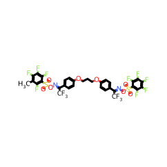 Cc1c(F)c(F)c(F)c(S(=O)(=O)O/N=C(/c2ccc(OCCCOc3ccc(/C(=N/OS(=O)(=O)c4c(F)c(F)c(F)c(F)c4F)C(F)(F)F)cc3)cc2)C(F)(F)F)c1F